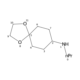 CCCNC1CCC2(CC1)OCCO2